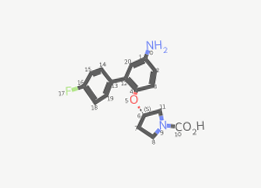 Nc1ccc(O[C@H]2CCN(C(=O)O)C2)c(-c2ccc(F)cc2)c1